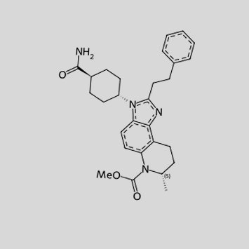 COC(=O)N1c2ccc3c(nc(CCc4ccccc4)n3[C@H]3CC[C@H](C(N)=O)CC3)c2CC[C@@H]1C